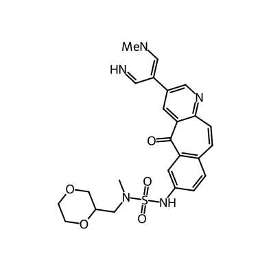 CN/C=C(\C=N)c1cnc2ccc3ccc(NS(=O)(=O)N(C)CC4COCCO4)cc3c(=O)c2c1